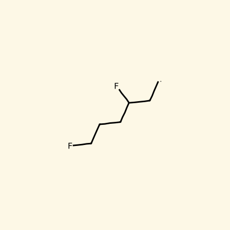 [CH2]CC(F)CCCF